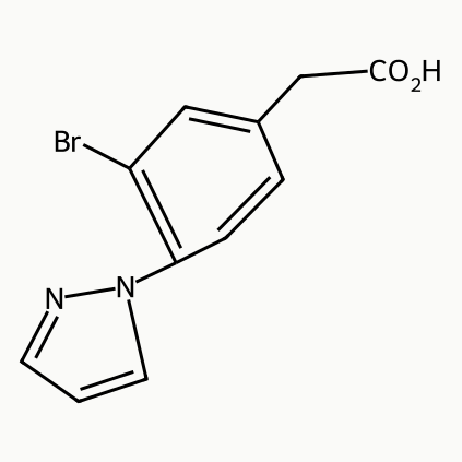 O=C(O)Cc1ccc(-n2cccn2)c(Br)c1